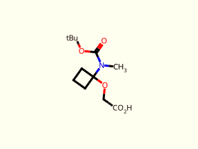 CN(C(=O)OC(C)(C)C)C1(OCC(=O)O)CCC1